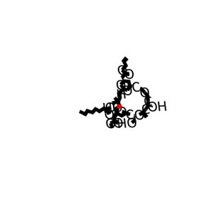 C=CCOC(=O)C[C@H]1CC2CCOCC[C@@H](O)CC(=C)O[C@@H](CO)CC3C/C(=C\C(=O)OC)[C@H](OC(=O)CCCCCCC)[C@@](O)(O3)C(C)(C)/C=C/[C@H](O2)O1